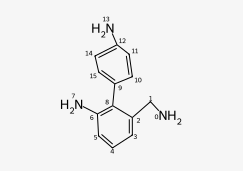 NCc1cccc(N)c1-c1ccc(N)cc1